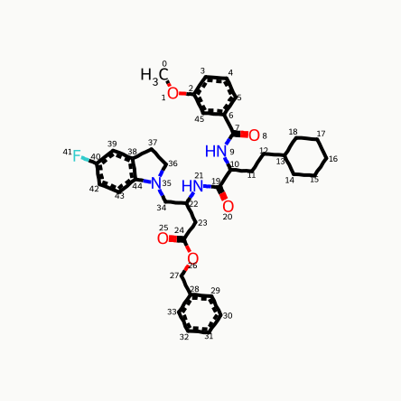 COc1cccc(C(=O)NC(CCC2CCCCC2)C(=O)NC(CC(=O)OCc2ccccc2)CN2CCc3cc(F)ccc32)c1